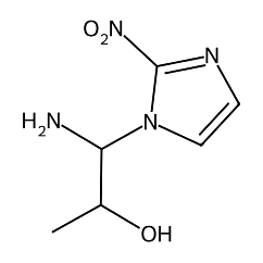 CC(O)C(N)n1ccnc1[N+](=O)[O-]